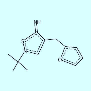 CC(C)(C)n1cc(Cc2ccco2)c(=N)s1